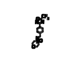 O=S1(=NCc2ccc(-c3noc(C(F)(F)F)n3)cc2)CCOCC1